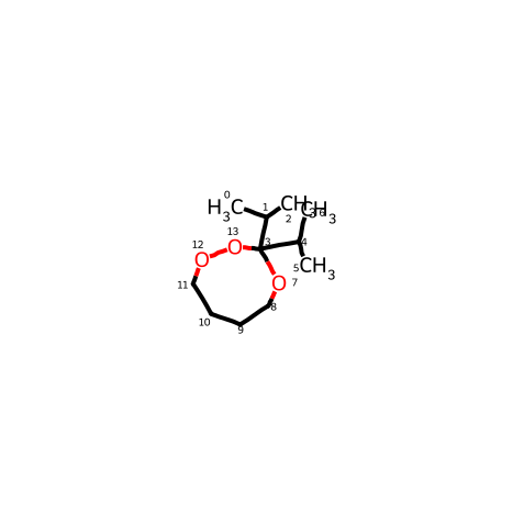 CC(C)C1(C(C)C)OCCCCOO1